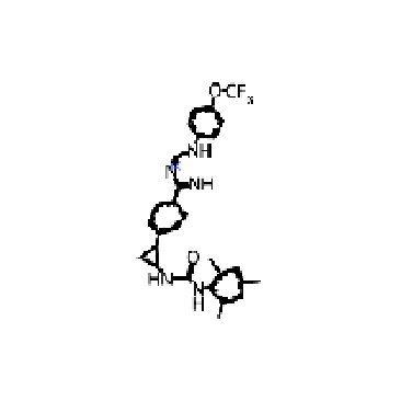 Cc1cc(C)c(NC(=O)NC2CC2c2ccc(C(=N)/N=C\Nc3ccc(OC(F)(F)F)cc3)cc2)c(C)c1